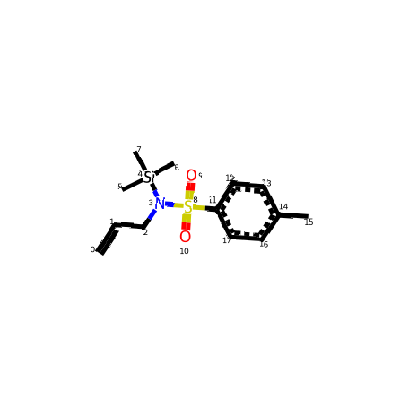 C=CCN([Si](C)(C)C)S(=O)(=O)c1ccc(C)cc1